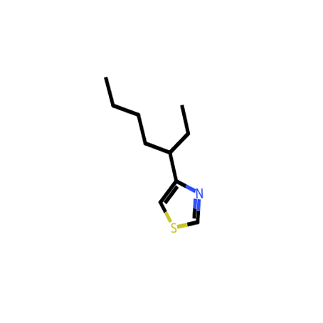 CCCCC(CC)c1cscn1